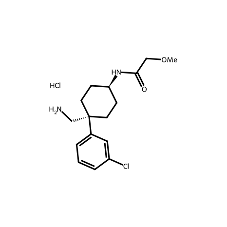 COCC(=O)N[C@H]1CC[C@@](CN)(c2cccc(Cl)c2)CC1.Cl